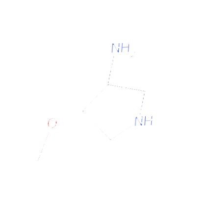 CO[C@H]1CNC[C@]1(C)N